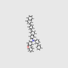 c1ccc(-c2cccc(N(c3ccc4cc(-c5ccc(-c6ccc7ccccc7c6)cc5)ccc4c3)c3ccc4oc5ccccc5c4c3)c2)cc1